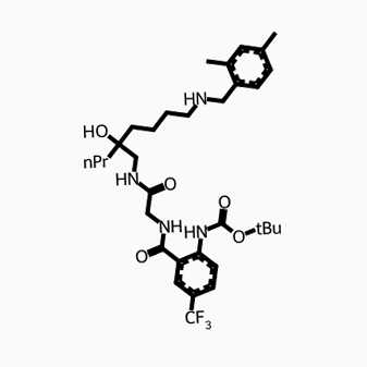 CCCC(O)(CCCCNCc1ccc(C)cc1C)CNC(=O)CNC(=O)c1cc(C(F)(F)F)ccc1NC(=O)OC(C)(C)C